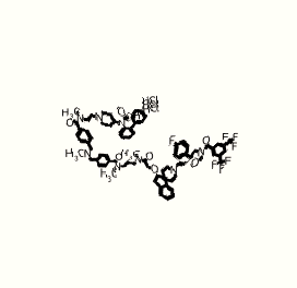 CN(Cc1ccc(C(=O)N(C)CCCN(C)C(=O)CO[C@H]2Cc3ccccc3C23CCN(CC[C@]2(c4ccc(F)cc4)CN(C(=O)c4cc(C(F)(F)F)cc(C(F)(F)F)c4)CO2)CC3)cc1)Cc1ccc(C(=O)N(C)CCN2CCC(N(C(=O)O)c3ccccc3-c3ccccc3)CC2)cc1.Cl.Cl.Cl